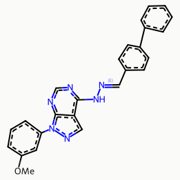 COc1cccc(-n2ncc3c(N/N=C/c4ccc(-c5ccccc5)cc4)ncnc32)c1